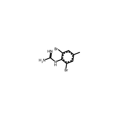 Cc1cc(Br)c(NC(=N)N)c(Br)c1